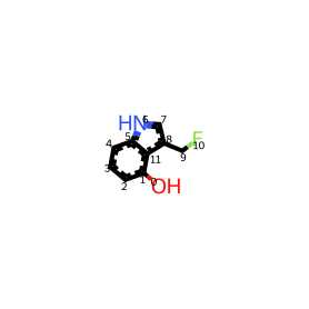 Oc1cccc2[nH]cc(CF)c12